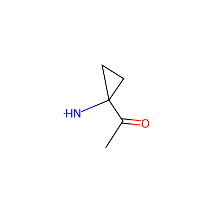 CC(=O)C1([NH])CC1